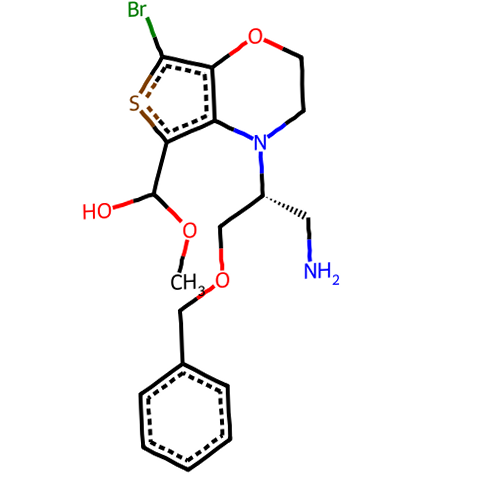 COC(O)c1sc(Br)c2c1N([C@H](CN)COCc1ccccc1)CCO2